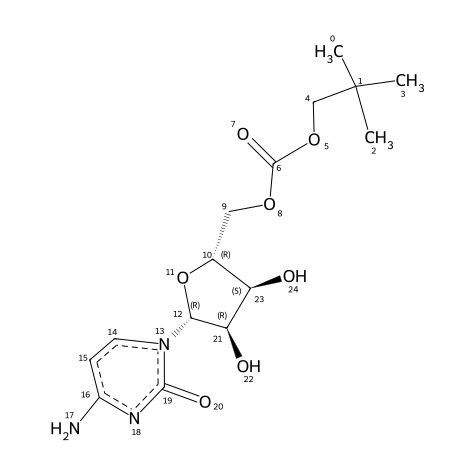 CC(C)(C)COC(=O)OC[C@H]1O[C@@H](n2ccc(N)nc2=O)[C@H](O)[C@@H]1O